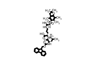 Cc1c(C)c(S(=O)(=O)NC(=N)NCCC[C@H](NC(=O)[C@H](CC(C)C)NC(=O)OCC2c3ccccc3-c3ccccc32)C(=O)O)c(C)c2c1OC(C)(C)C2